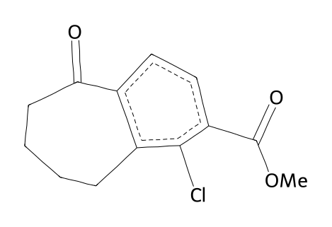 COC(=O)c1ccc2c(c1Cl)CCCCC2=O